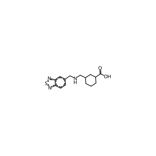 O=C(O)C1CCCC(CNCc2ccc3nsnc3c2)C1